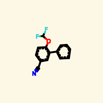 N#Cc1ccc(OC(F)F)c(-c2ccccc2)c1